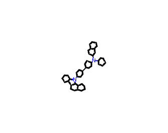 c1ccc(N(c2ccc(-c3ccc(-n4c5ccccc5c5ccc6ccccc6c54)cc3)cc2)c2ccc3ccccc3c2)cc1